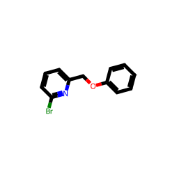 Brc1cccc(COc2cc[c]cc2)n1